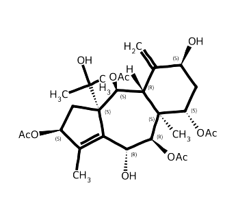 C=C1[C@@H](O)C[C@H](OC(C)=O)[C@@]2(C)[C@@H](OC(C)=O)[C@H](O)C3=C(C)[C@@H](OC(C)=O)C[C@@]3(C(C)(C)O)[C@@H](OC(C)=O)[C@H]12